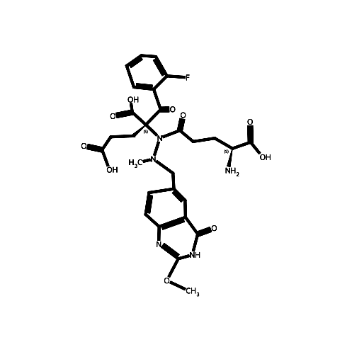 COc1nc2ccc(CN(C)N(C(=O)CC[C@H](N)C(=O)O)[C@](CCC(=O)O)(C(=O)O)C(=O)c3ccccc3F)cc2c(=O)[nH]1